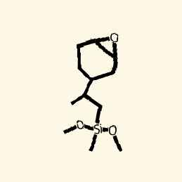 CO[Si](C)(CC(C)C1CCC2OC2C1)OC